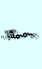 C=C(C)C(=O)OCC(COC(=O)C(C)(C)CO)Cc1ccc(CCC2CCC(CCCC(C)C)CC2)cc1